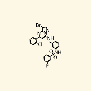 O=S(=O)(Nc1cccc(CNc2cc(-c3ccccc3Cl)nc3c(Br)cnn23)c1)c1cccc(F)c1